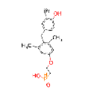 Cc1cc(OCC[PH](=O)O)cc(C)c1Cc1ccc(O)c(C(C)C)c1